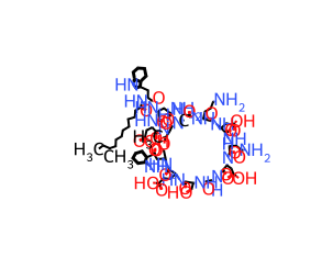 CCC(C)CCCCCCCCC(=O)NC(Cc1c[nH]c2ccccc12)C(=O)NC(CC(N)=O)C(=O)NC(CC(=O)O)C(=O)NC1C(=O)NCC(=O)NC(CCCN)C(=O)NC(CC(=O)O)C(=O)NC(CC(N)=O)C(=O)NC(CC(=O)O)C(=O)NCC(=O)NC(CO)C(=O)NC(CCC(=O)O)C(=O)NC(CC(=O)c2ccccc2N)C(=O)OC1C